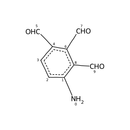 Nc1ccc(C=O)c(C=O)c1C=O